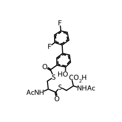 CC(=O)NC(CSC(=O)C(CSC(=O)c1cc(-c2ccc(F)cc2F)ccc1O)NC(C)=O)C(=O)O